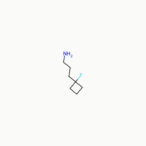 NCCCC1(F)CCC1